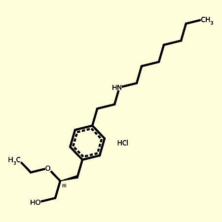 CCCCCCCNCCc1ccc(C[C@@H](CO)OCC)cc1.Cl